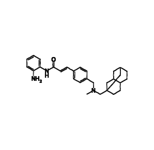 CN(Cc1ccc(/C=C/C(=O)Nc2ccccc2N)cc1)CC12CCC3CCC(CC3C1)C2